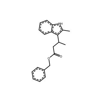 Cc1[nH]c2ccccc2c1C(C)CC(=O)OCc1ccccc1